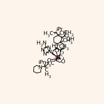 C=C(O)[C@@H]1[C@@](C)([C@H](C)C(C)C)CC[C@]2(C)[C@H]3CC[C@H]4[C@]5(C)COC[C@]4(C3=CC[C@@]12C)[C@H](C)[C@@H](n1nnc(N)n1)[C@@H]5OC[C@@](C)(C(C)C)N1CCCCC1